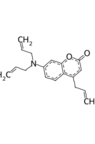 C=CCc1cc(=O)oc2cc(N(CC=C)CC=C)ccc12